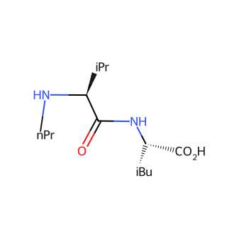 CCCN[C@H](C(=O)N[C@H](C(=O)O)[C@@H](C)CC)C(C)C